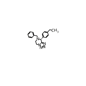 CCc1ccc([C@H]2c3nnnn3CCN2Cc2ccccc2)cc1